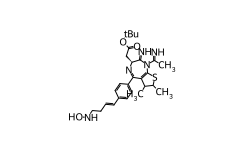 CC(=N)N1C(=N)[C@H](CC(=O)OC(C)(C)C)N=C(c2ccc(/C=C/CCNO)cc2)C2=C1SC(C)C2C